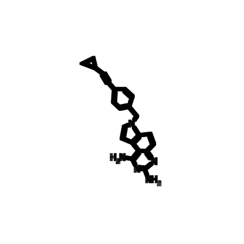 Nc1nc(N)c2c(ccc3c2ccn3Cc2ccc(C#CC3CC3)cc2)n1